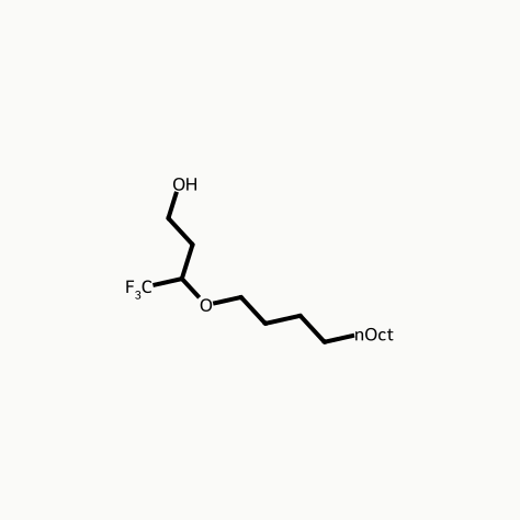 CCCCCCCCCCCCOC(CCO)C(F)(F)F